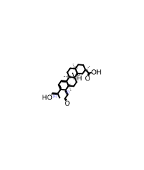 C/C(=C\O)C1=CC=C2[C@@](C)(CC[C@@]3(C)[C@@H]4C[C@](C)(C(=O)O)CC[C@]4(C)CC[C@]23C)/C1=C/C=O